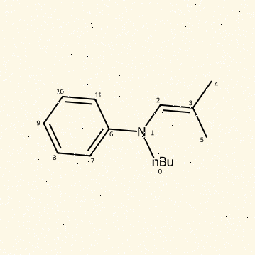 CCCCN(C=C(C)C)c1ccccc1